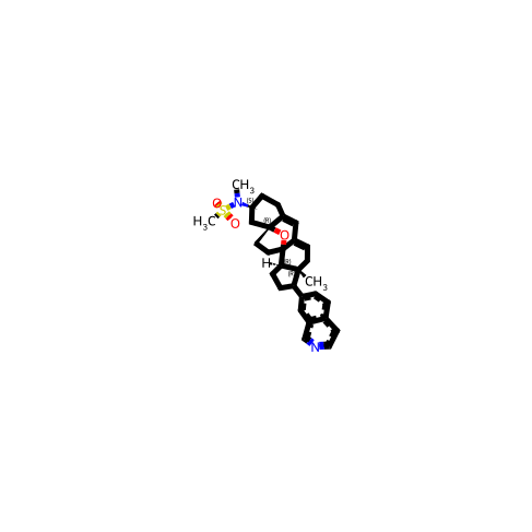 CN([C@H]1CCC2=CC3=CC[C@]4(C)C(c5ccc6ccncc6c5)CC[C@H]4C34CC[C@]2(C1)O4)S(C)(=O)=O